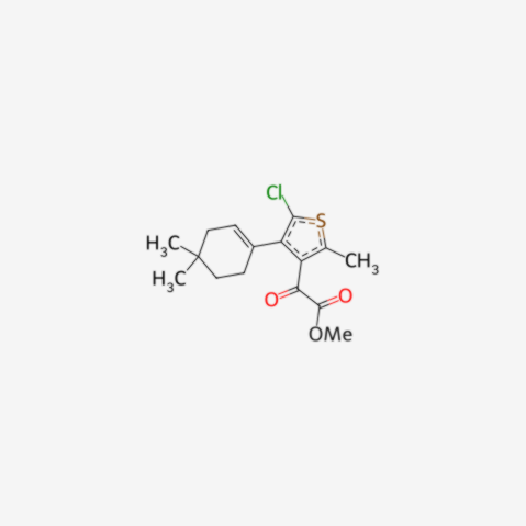 COC(=O)C(=O)c1c(C)sc(Cl)c1C1=CCC(C)(C)CC1